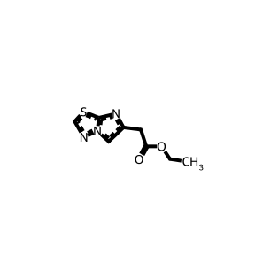 CCOC(=O)Cc1cn2ncsc2n1